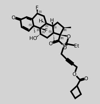 CCC(=O)O[C@]1(C(=O)SCC#CCOC(=O)C2CCC2)[C@H](C)C[C@H]2[C@@H]3C[C@H](F)C4=CC(=O)C=C[C@]4(C)[C@@]3(F)[C@@H](O)C[C@@]21C